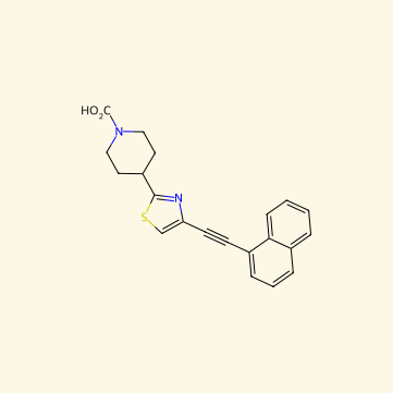 O=C(O)N1CCC(c2nc(C#Cc3cccc4ccccc34)cs2)CC1